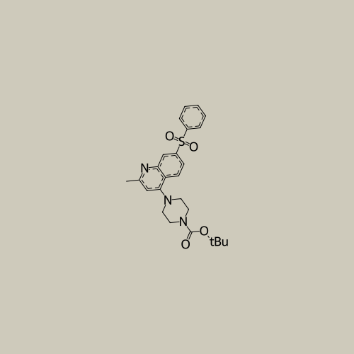 Cc1cc(N2CCN(C(=O)OC(C)(C)C)CC2)c2ccc(S(=O)(=O)c3ccccc3)cc2n1